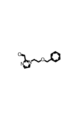 O=Cc1nccn1CCOCc1ccccc1